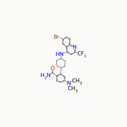 CN(C)c1ccc(C(N)=O)c(C2CCC(Nc3cc(C(F)(F)F)nc4ccc(Br)cc34)CC2)c1